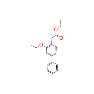 CCOC(=O)Cc1ccc(-c2ccccc2)cc1OCC